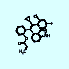 C=CC(=O)Oc1ccccc1/C(=C(/c1ccc(F)cc1Cl)C1CC1)c1cccc2[nH]ncc12